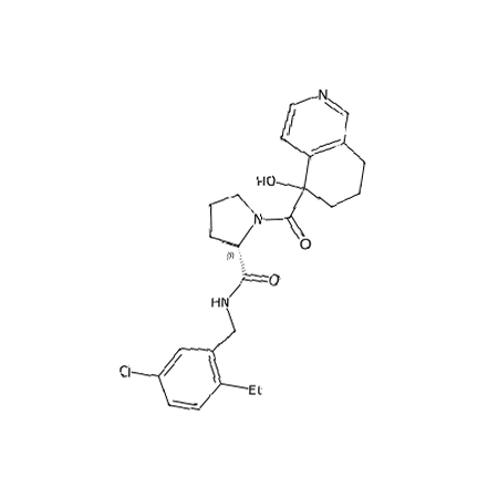 CCc1ccc(Cl)cc1CNC(=O)[C@@H]1CCCN1C(=O)C1(O)CCCc2cnccc21